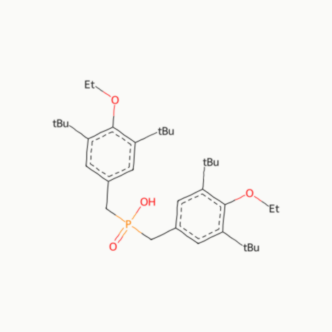 CCOc1c(C(C)(C)C)cc(CP(=O)(O)Cc2cc(C(C)(C)C)c(OCC)c(C(C)(C)C)c2)cc1C(C)(C)C